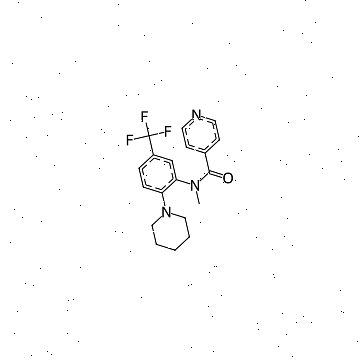 CN(C(=O)c1ccncc1)c1cc(C(F)(F)F)ccc1N1CCCCC1